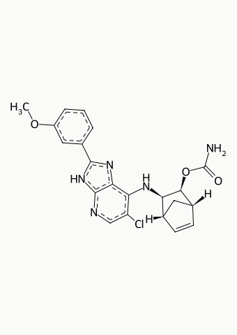 COc1cccc(-c2nc3c(N[C@H]4[C@@H](OC(N)=O)[C@@H]5C=C[C@H]4C5)c(Cl)cnc3[nH]2)c1